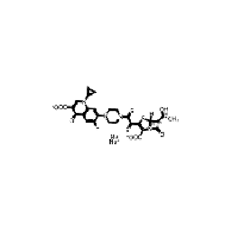 C[C@@H](O)[C@@H]1C(=O)N2C(C(=O)[O-])=C(C(=S)C(=S)N3CCN(c4cc5c(cc4F)c(=O)c(C(=O)[O-])cn5C4CC4)CC3)S[C@H]12.[Na+].[Na+]